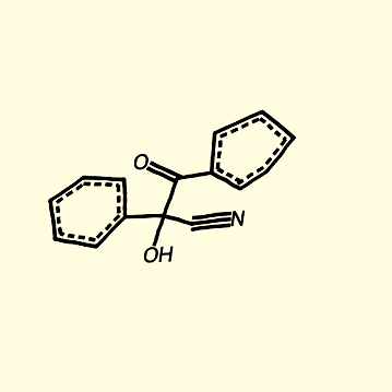 N#CC(O)(C(=O)c1ccccc1)c1ccccc1